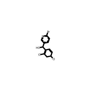 OC(C1=C(Cl)CC(Cl)C=C1)c1ccc(Br)nc1